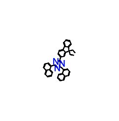 CCC1(CC)c2ccccc2-c2ccc(-c3nc(-c4cccc5ccccc45)nc(-c4cccc5ccccc45)n3)cc21